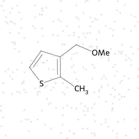 COCc1ccsc1C